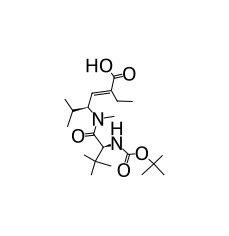 CCC(=C[C@H](C(C)C)N(C)C(=O)[C@@H](NC(=O)OC(C)(C)C)C(C)(C)C)C(=O)O